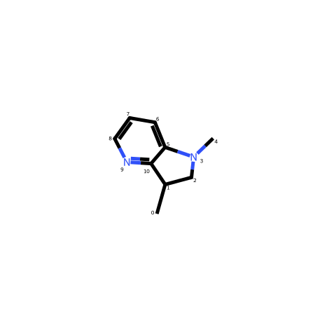 CC1CN(C)c2cccnc21